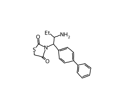 CCC(N)C(c1ccc(-c2ccccc2)cc1)N1C(=O)CSC1=O